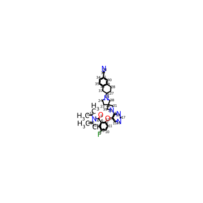 CC(C)N(C(=O)c1cc(F)ccc1Oc1cncnc1N1CC2(CCN(C3CCc4cc(C#N)ccc4C3)C2)C1)C(C)C